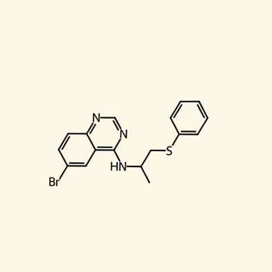 CC(CSc1ccccc1)Nc1ncnc2ccc(Br)cc12